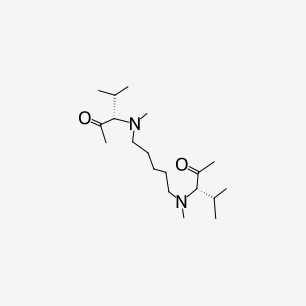 CC(=O)[C@H](C(C)C)N(C)CCCCCN(C)[C@H](C(C)=O)C(C)C